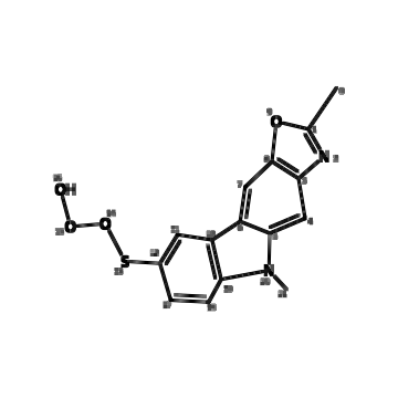 Cc1nc2cc3c(cc2o1)c1cc(SOOO)ccc1n3C